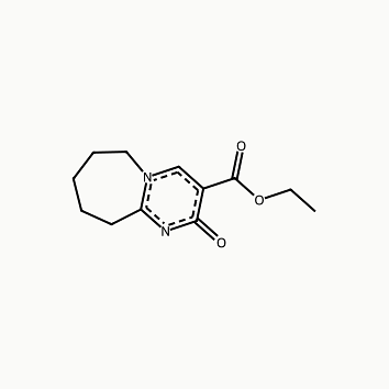 CCOC(=O)c1cn2c(nc1=O)CCCCC2